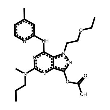 CCCN(C)c1nc(Nc2cc(C)ccn2)c2c(n1)c(OC(=O)O)nn2CCOCC